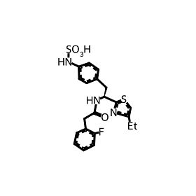 CCc1csc([C@H](Cc2ccc(NS(=O)(=O)O)cc2)NC(=O)Cc2ccccc2F)n1